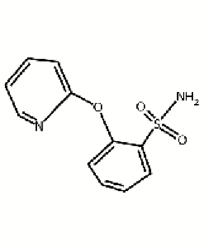 NS(=O)(=O)c1ccccc1Oc1ccccn1